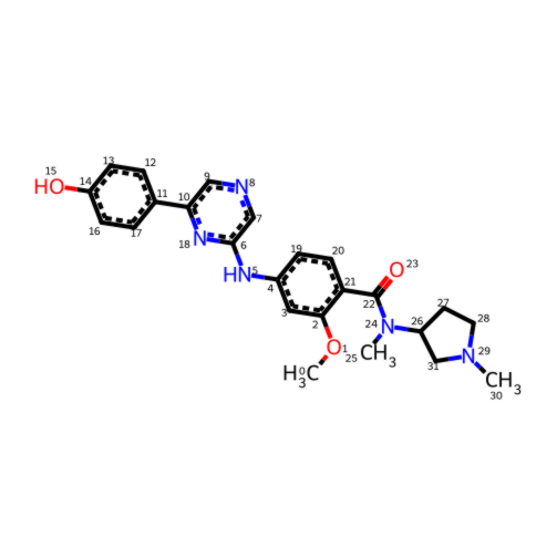 COc1cc(Nc2cncc(-c3ccc(O)cc3)n2)ccc1C(=O)N(C)C1CCN(C)C1